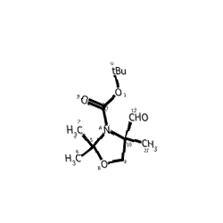 CC(C)(C)OC(=O)N1C(C)(C)OC[C@]1(C)C=O